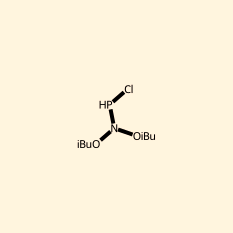 CC(C)CON(OCC(C)C)PCl